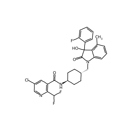 Cc1cccc2c1C(O)(c1ccccc1F)C(=O)N2C[C@H]1CC[C@H](NC(=O)c2cc(Cl)cnc2C(F)F)CC1